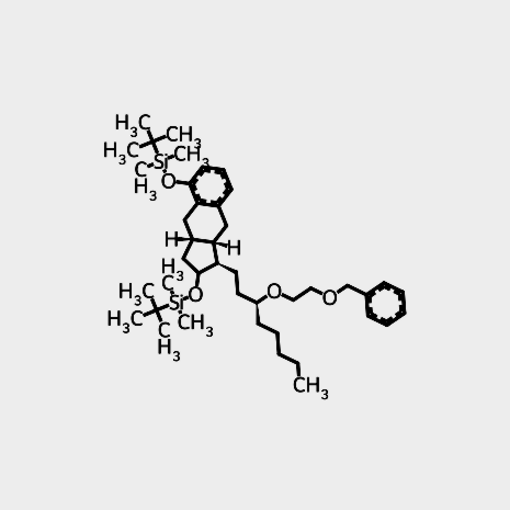 CCCCC[C@@H](CC[C@H]1C(O[Si](C)(C)C(C)(C)C)C[C@@H]2Cc3c(cccc3O[Si](C)(C)C(C)(C)C)C[C@@H]21)OCCOCc1ccccc1